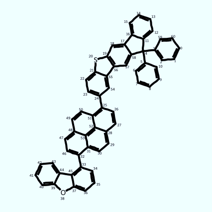 c1ccc(C2(c3ccccc3)c3ccccc3-c3cc4sc5ccc(-c6ccc7ccc8c(-c9cccc%10oc%11ccccc%11c9%10)ccc9ccc6c7c98)cc5c4cc32)cc1